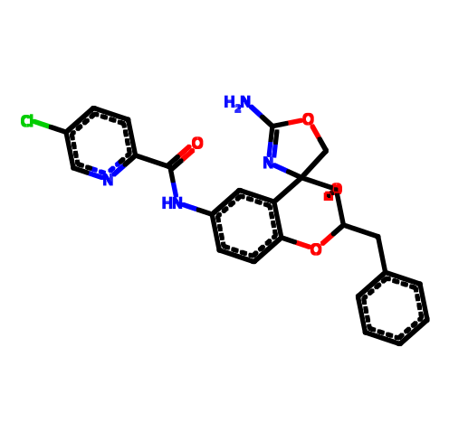 NC1=NC2(CO1)c1cc(NC(=O)c3ccc(Cl)cn3)ccc1OC(Cc1ccccc1)C21COC1